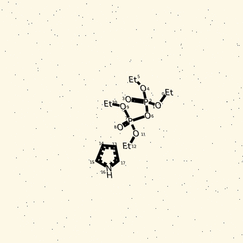 CCOP(=O)(OCC)OP(=O)(OCC)OCC.c1cc[nH]c1